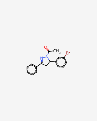 CC(=O)N1N=C(c2ccccc2)CC1c1cccc(Br)c1